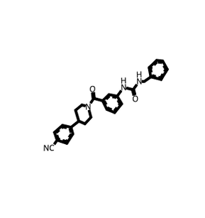 N#Cc1ccc(C2CCN(C(=O)c3cccc(NC(=O)NCc4ccccc4)c3)CC2)cc1